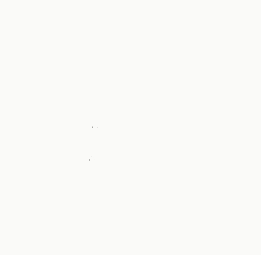 COP(=O)(OC)c1cc(C)cc(C)c1